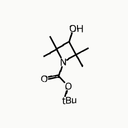 CC(C)(C)OC(=O)N1C(C)(C)C(O)C1(C)C